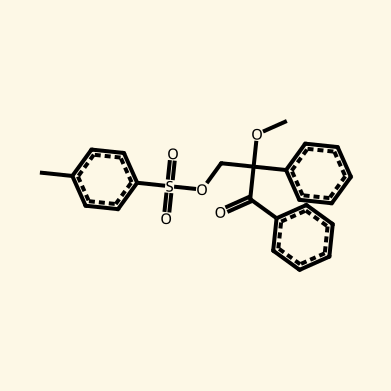 COC(COS(=O)(=O)c1ccc(C)cc1)(C(=O)c1ccccc1)c1ccccc1